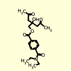 CCN(CC)C(=O)c1ccc(C(=O)OCC(O)(CC(C)=O)CC(C)=O)cc1